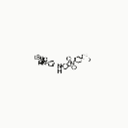 CC(C)(C)S(=O)(=O)Nc1ccc(CNc2ccc3c(c2)C(=O)N(c2ccc(C(F)(F)F)cc2)C3=O)cc1